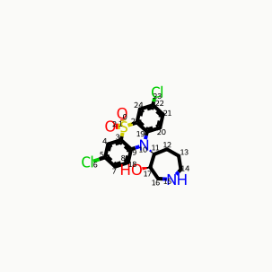 O=S1(=O)c2cc(Cl)ccc2N([C@@H]2CCCNC[C@H]2O)c2ccc(Cl)cc21